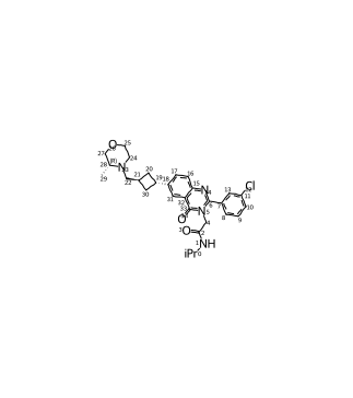 CC(C)NC(=O)Cn1c(-c2cccc(Cl)c2)nc2ccc([C@H]3C[C@H](CN4CCOC[C@H]4C)C3)cc2c1=O